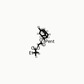 CCCC(C)C1(OC(=O)COC(=O)C(C)(C)CC)C2CC3CC1CC(C)(C3)C2